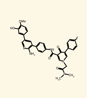 COc1ccc(-c2cnc(N)c(-c3ccc(NC(=O)c4cn(CC(=O)N(C)C)cc(-c5ccc(F)cc5)c4=O)cc3)c2)cc1O